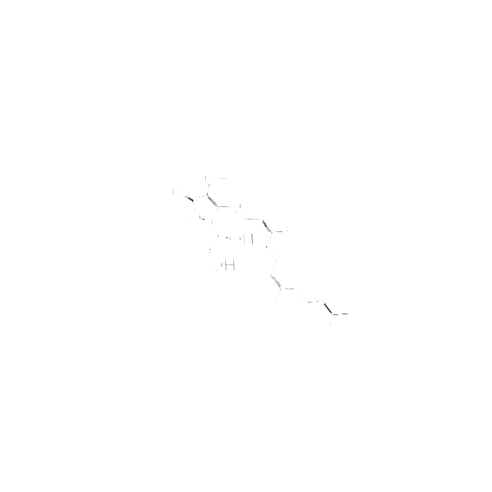 CC(C)=CCCC(C)=CCCC(C)=CCOC1=C(O)C(=O)O[C@@H]1[C@@H](O)CO